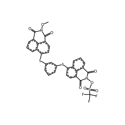 CON1C(=O)c2cccc3c(Sc4cccc(Sc5ccc6c7c(cccc57)C(=O)N(OS(=O)(=O)C(F)(F)F)C6=O)c4)ccc(c23)C1=O